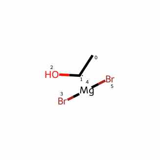 C[CH]O.[Br][Mg][Br]